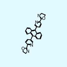 c1ccc2c(-c3ccc(C4=NCCO4)nc3)c3ccccc3c(-c3ccc(C4=NCCO4)nc3)c2c1